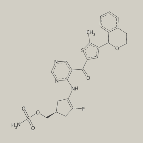 Cc1sc(C(=O)c2cncnc2NC2=C(F)C[C@@H](COS(N)(=O)=O)C2)cc1C1OCCc2ccccc21